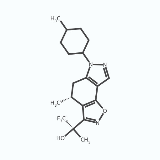 CC1CCC(n2ncc3c2C[C@@H](C)c2c([C@@](C)(O)C(F)(F)F)noc2-3)CC1